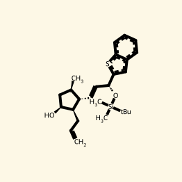 C=CC[C@@H]1[C@@H](/C=C/[C@@H](O[Si](C)(C)C(C)(C)C)c2cc3ccccc3s2)[C@H](C)C[C@@H]1O